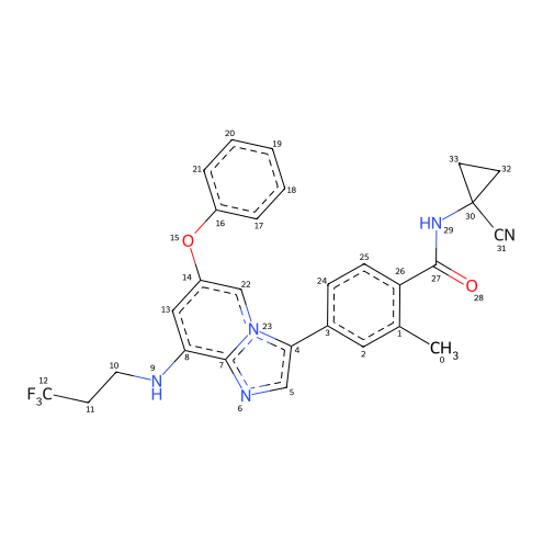 Cc1cc(-c2cnc3c(NCCC(F)(F)F)cc(Oc4ccccc4)cn23)ccc1C(=O)NC1(C#N)CC1